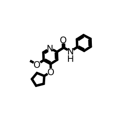 COc1cnc(C(=O)Nc2ccccc2)cc1OC1CCCC1